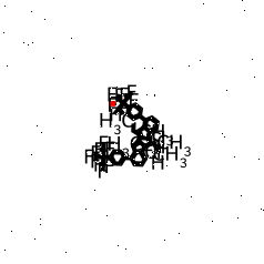 CCCC(C)C1=Cc2c(-c3ccc(C(C(F)(F)F)(C(F)(F)F)C(F)(F)F)cc3)cccc2[CH]1[Zr]([Cl])([Cl])([CH]1C(C)=Cc2c(-c3ccc(C(C(F)(F)F)(C(F)(F)F)C(F)(F)F)cc3)cccc21)[SiH](C)C